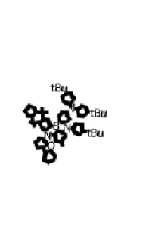 Cc1cc2c3c(c1)N(c1cccc4c1oc1ccccc14)c1cc4c(cc1B3c1ccc(N(c3ccc(C(C)(C)C)cc3)c3ccc(C(C)(C)C)cc3)cc1N2c1ccc(C(C)(C)C)cc1)C(C)(C)c1ccccc1C4(C)C